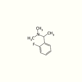 CC(c1ccccc1F)N(C)C